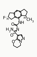 C[C@@H]1CCc2cc3c(c(NC(=O)N=[S@](N)(=O)c4cnn5c4OCCC5)c21)C[C@H](F)C3